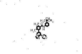 Cc1cc(P)c(C(=O)Nc2cccc(C(C)(C)C)c2)cc1-c1cc(N2CCOCC2)c2nccn2c1